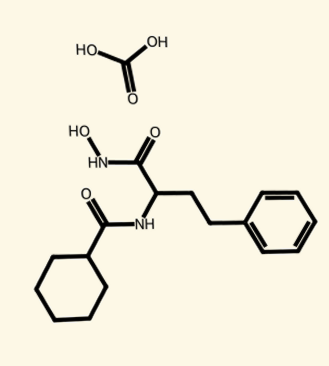 O=C(NC(CCc1ccccc1)C(=O)NO)C1CCCCC1.O=C(O)O